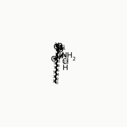 CCCCCCCCCCCC(=O)N(CCN)CCC[Si](OC)(OC)OC.Cl